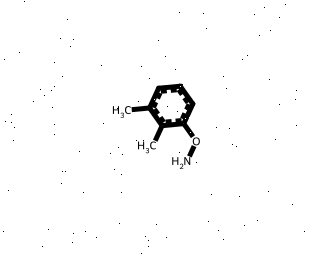 Cc1cccc(ON)c1C